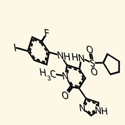 Cn1c(Nc2ccc(I)cc2F)c(NS(=O)(=O)C2CCCC2)cc(-c2c[nH]cn2)c1=O